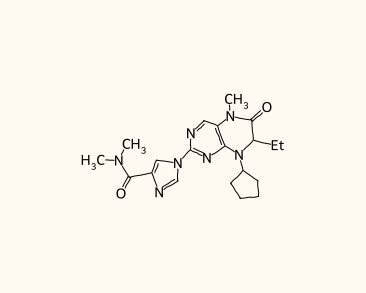 CCC1C(=O)N(C)c2cnc(-n3cnc(C(=O)N(C)C)c3)nc2N1C1CCCC1